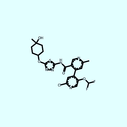 Cc1cc(-c2cc(Cl)ncc2OC(F)F)c(C(=O)Nc2nnc(OC3CCC(C)(O)CC3)s2)cn1